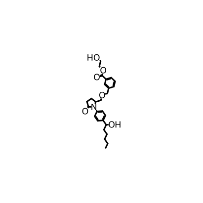 CCCCCC(O)c1ccc(N2C(=O)CCC2COCc2cccc(C(=O)OCCO)c2)cc1